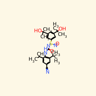 CC(C)c1cc(C#N)cc(C(C)C)c1NC(=O)/N=S(\N=O)c1cc(C(C)(C)O)cc(C(C)(C)O)c1